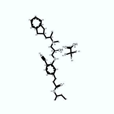 CCC(C)OC(=O)CCc1ccc(C#N)c(OC[C@H](O)CN(C)C(C)CC2Cc3ccccc3C2)c1.O=C(O)C(F)(F)F